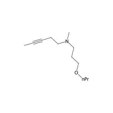 CC#CCCN(C)CCCOCCC